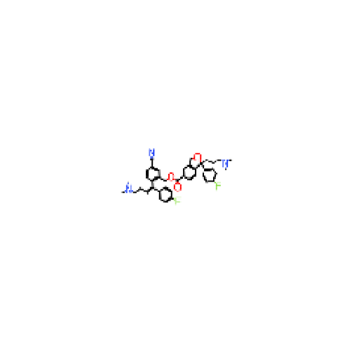 CN(C)CC/[C]=C(/c1ccc(F)cc1)c1ccc(C#N)cc1COC(=O)c1ccc2c(c1)COC2(CCCN(C)C)c1ccc(F)cc1